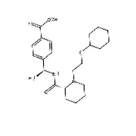 COC(=O)c1ccc([C@H](C)NC(=O)[C@H]2CCCCN2CCOC2CCCCC2)cc1